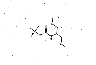 COCC(COC)NC(=O)OC(C)(C)C